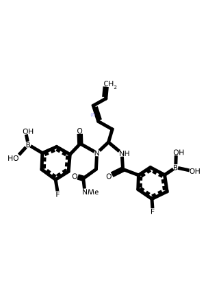 C=C/C=C\CC(NC(=O)c1cc(F)cc(B(O)O)c1)N(CC(=O)NC)C(=O)c1cc(F)cc(B(O)O)c1